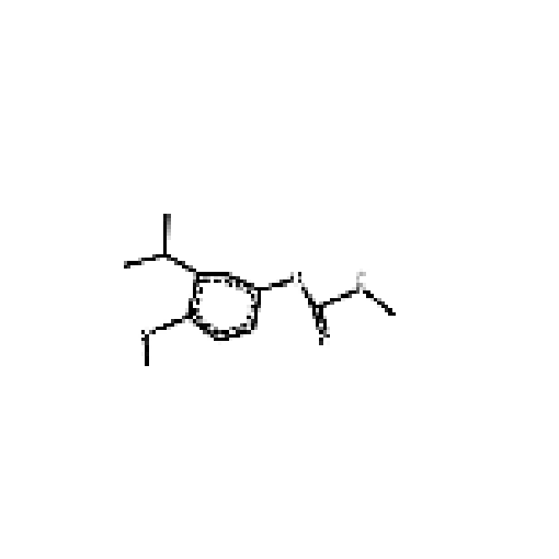 CNC(=O)Oc1ccc(SC)c(C(C)C)c1